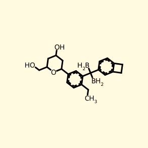 BC(B)(c1ccc2c(c1)CC2)c1cc(C2CC(O)CC(CO)O2)ccc1CC